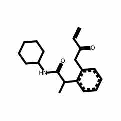 C=CC(=O)Cc1ccccc1C(C)C(=O)NC1CCCCC1